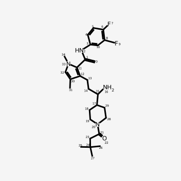 C=C(Nc1ccc(F)c(F)c1)c1c(CCC(N)C2CCN(C(=O)CC(C)(C)C)CC2)c(C)cn1C